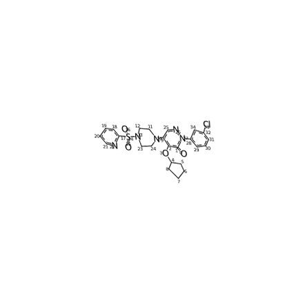 O=c1c(OC2CCCC2)c(N2CCN(S(=O)(=O)c3ccccn3)CC2)cnn1-c1cccc(Cl)c1